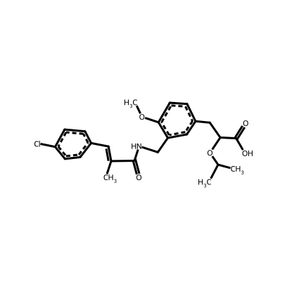 COc1ccc(CC(OC(C)C)C(=O)O)cc1CNC(=O)C(C)=Cc1ccc(Cl)cc1